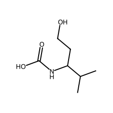 CC(C)C(CCO)NC(=O)O